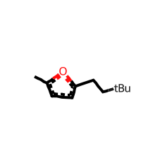 Cc1ccc(CCC(C)(C)C)o1